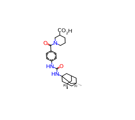 C[C@]12CC3CC(NC(=O)Nc4ccc(C(=O)N5CCCC(C(=O)O)C5)cc4)(C1)C[C@@](C)(C3)C2